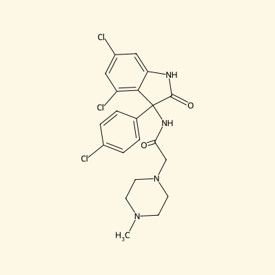 CN1CCN(CC(=O)NC2(c3ccc(Cl)cc3)C(=O)Nc3cc(Cl)cc(Cl)c32)CC1